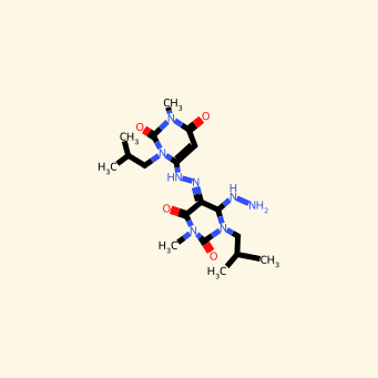 CC(C)CN1C(=O)N(C)C(=O)C(=NNc2cc(=O)n(C)c(=O)n2CC(C)C)C1NN